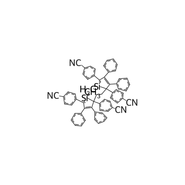 C[Si]1=C(c2ccc(C#N)cc2)C(c2ccccc2)=C(c2ccccc2)C1(CCC1(c2ccc(C#N)cc2)C(c2ccccc2)=C(c2ccccc2)C(c2ccc(C#N)cc2)=[Si]1C)c1ccc(C#N)cc1